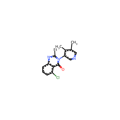 CCc1nc2cccc(Cl)c2c(=O)n1-c1cncc(C)c1C